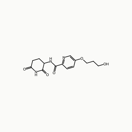 O=C1CCC(NC(=O)c2ccc(OCCCO)cn2)C(=O)N1